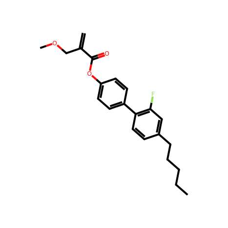 C=C(COC)C(=O)Oc1ccc(-c2ccc(CCCCC)cc2F)cc1